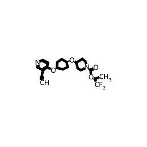 C#Cc1cnccc1O[C@H]1CC[C@H](OC2CCN(C(=O)OC(C)C(F)(F)F)CC2)CC1